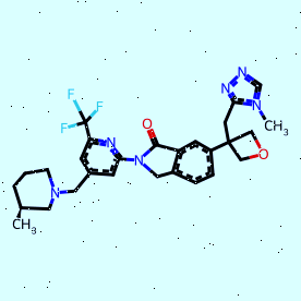 C[C@H]1CCCN(Cc2cc(N3Cc4ccc(C5(Cc6nncn6C)COC5)cc4C3=O)nc(C(F)(F)F)c2)C1